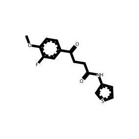 COc1ccc(C(=O)CCC(=O)Nc2ccsc2)cc1F